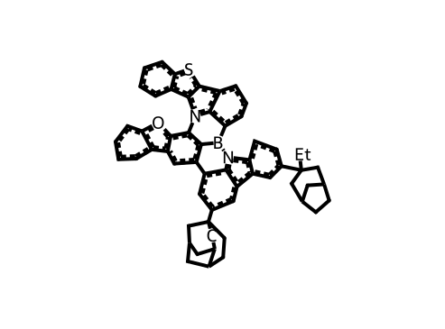 CCC1(c2ccc3c(c2)c2cc(C45CCC6CC(CC6C4)C5)cc4c2n3B2c3c-4cc4c(oc5ccccc54)c3-n3c4c2cccc4c2sc4ccccc4c23)CC2CCC(C2)C1